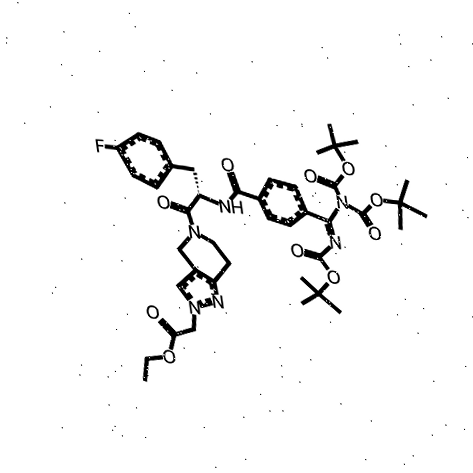 CCOC(=O)Cn1cc2c(n1)CCN(C(=O)[C@H](Cc1ccc(F)cc1)NC(=O)c1ccc(C(=NC(=O)OC(C)(C)C)N(C(=O)OC(C)(C)C)C(=O)OC(C)(C)C)cc1)C2